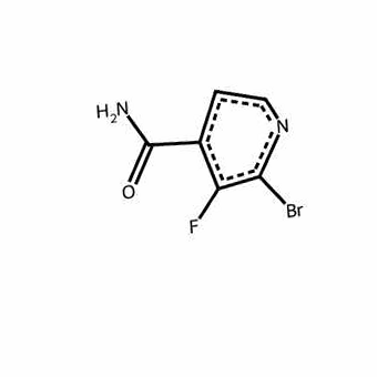 NC(=O)c1ccnc(Br)c1F